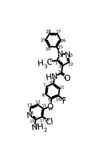 Cc1c(C(=O)Nc2ccc(Oc3ccnc(N)c3Cl)c(F)c2)cnn1-c1ccccc1